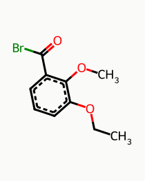 CCOc1cccc(C(=O)Br)c1OC